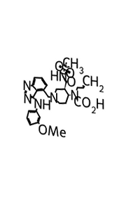 C=CCN(C(=O)O)[C@@H]1CCN(Cc2cccc3ncnc(Nc4cccc(OC)c4)c23)C[C@H]1C(=O)NS(C)(=O)=O